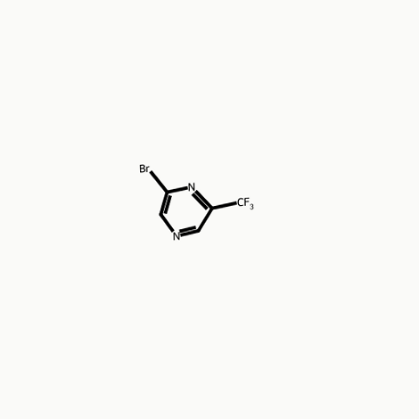 FC(F)(F)c1cncc(Br)n1